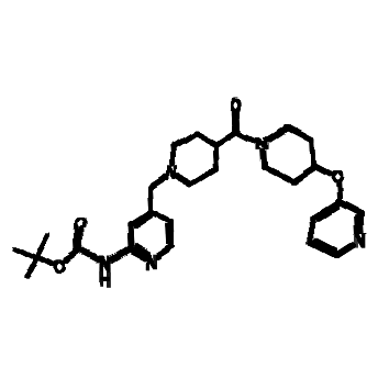 CC(C)(C)OC(=O)Nc1cc(CN2CCC(C(=O)N3CCC(Oc4cccnc4)CC3)CC2)ccn1